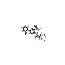 CN(C)C(=S)Oc1ccc(-c2ccccc2F)nc1[N+](=O)[O-]